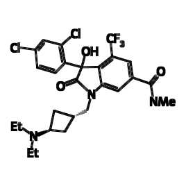 CCN(CC)[C@H]1C[C@H](CN2C(=O)C(O)(c3ccc(Cl)cc3Cl)c3c2cc(C(=O)NC)cc3C(F)(F)F)C1